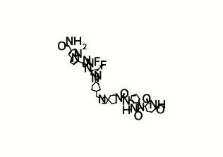 Cn1c(=O)n(C2CCC(=O)NC2=O)c2cccc(NC(=O)N3CCC4(CCN(CC5CCC(n6cc(-n7cc(-c8ccc9cc(C(N)=O)cnn89)nn7)c(C(F)F)n6)CC5)C4)CC3)c21